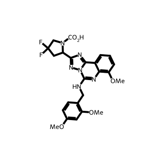 COc1ccc(CNc2nc3c(OC)cccc3c3nc(C4CC(F)(F)CN4C(=O)O)nn23)c(OC)c1